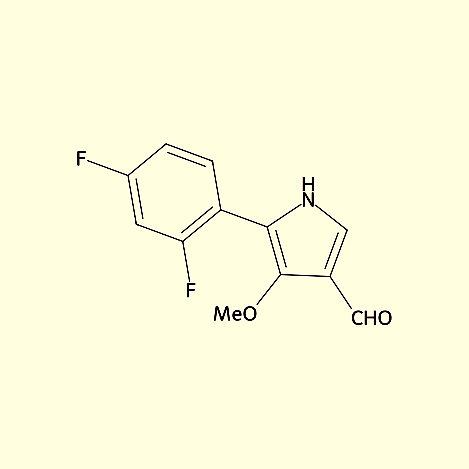 COc1c(C=O)c[nH]c1-c1ccc(F)cc1F